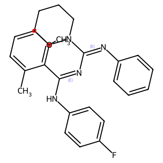 Cc1cccc(C)c1/C(=N\C(=N/c1ccccc1)N1CCCCO1)Nc1ccc(F)cc1